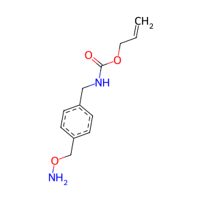 C=CCOC(=O)NCc1ccc(CON)cc1